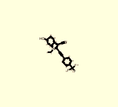 CCn1c(C#Cc2ccc(C(F)(F)F)cc2)c(C#N)c2ccc(O)cc21